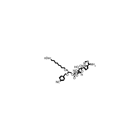 CCCCCCCCCCCCCCCCCCOC[C@H](COP(=O)(O)OC1[C@H]2O[C@@](C#N)(c3ccc4c(N)ncnn34)[C@H](O)[C@@]12O)OCc1ccc(C#N)cc1